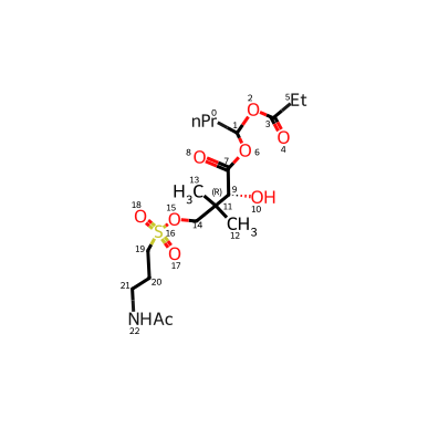 CCCC(OC(=O)CC)OC(=O)[C@H](O)C(C)(C)COS(=O)(=O)CCCNC(C)=O